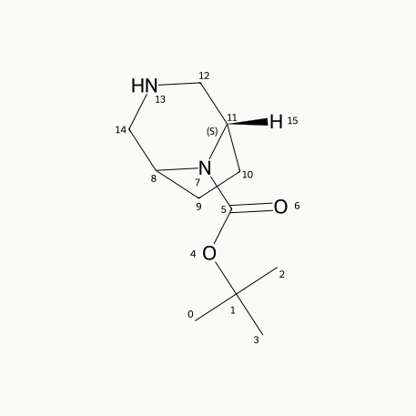 CC(C)(C)OC(=O)N1C2CC[C@H]1CNC2